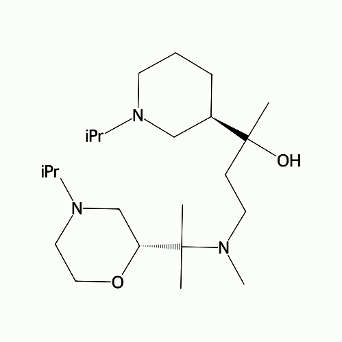 CC(C)N1CCC[C@@H](C(C)(O)CCN(C)C(C)(C)[C@H]2CN(C(C)C)CCO2)C1